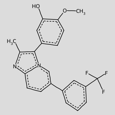 COc1ccc(-c2c(C)nc3ccc(-c4cccc(C(F)(F)F)c4)cn23)cc1O